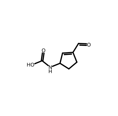 O=CC1=CC(NC(=O)O)CC1